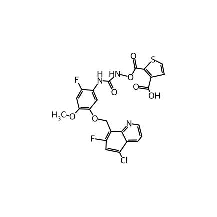 COc1cc(F)c(NC(=O)NOC(=O)c2sccc2C(=O)O)cc1OCc1c(F)cc(Cl)c2cccnc12